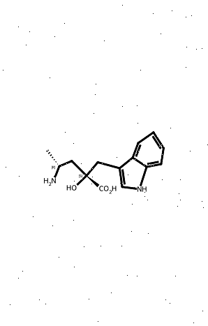 C[C@@H](N)C[C@@](O)(Cc1c[nH]c2ccccc12)C(=O)O